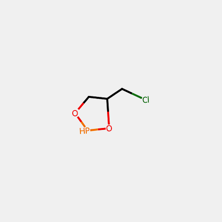 ClCC1COPO1